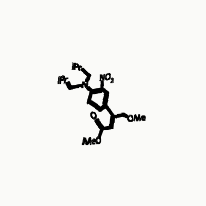 COC/C(=C/C(=O)OC)c1ccc(N(CC(C)C)CC(C)C)c([N+](=O)[O-])c1